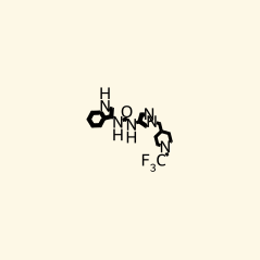 O=C(Nc1cnn(CC2CCN(CC(F)(F)F)CC2)c1)Nc1c[nH]c2ccccc12